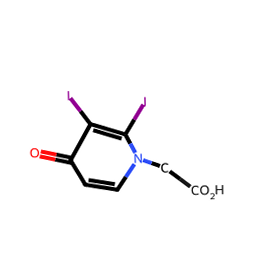 O=C(O)Cn1ccc(=O)c(I)c1I